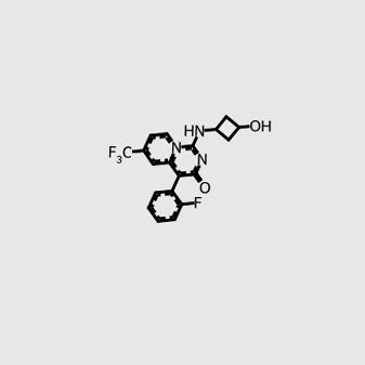 O=c1nc(NC2CC(O)C2)n2ccc(C(F)(F)F)cc2c1-c1ccccc1F